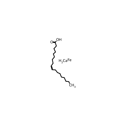 CCCCCCCC/C=C\CCCCCCCC(=O)O.[CaH2].[Fe]